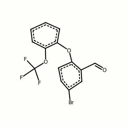 O=Cc1cc(Br)ccc1Oc1ccccc1OC(F)(F)F